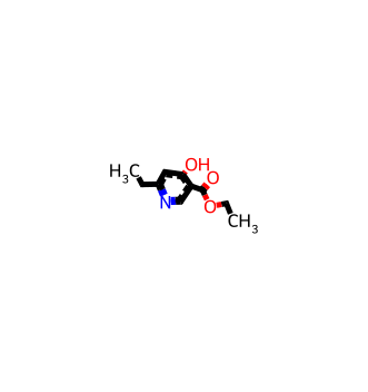 CCOC(=O)c1cnc(CC)cc1O